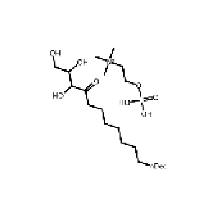 CCCCCCCCCCCCCCCCCC(=O)C(O)C(O)CO.C[N+](C)(C)CCOP(=O)(O)O